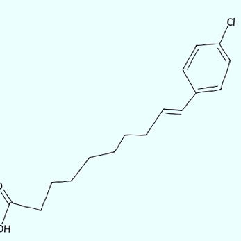 O=C(O)CCCCCCCC=Cc1ccc(Cl)cc1